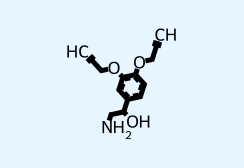 C#CCOc1ccc(C(O)CN)cc1OCC#C